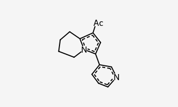 CC(=O)c1cc(-c2cccnc2)n2c1CCCC2